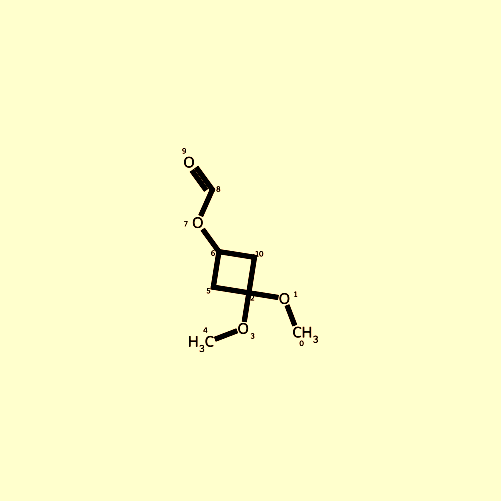 COC1(OC)CC(OC=O)C1